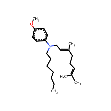 CCCCCCCN(C/C=C(\C)CCC=C(C)C)c1ccc(OC)cc1